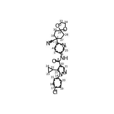 N#CC1(c2ccc(NC(=O)c3cnn(-c4ccc(Cl)cc4)c3C3CC3)cn2)CCC2(CC1)OCCO2